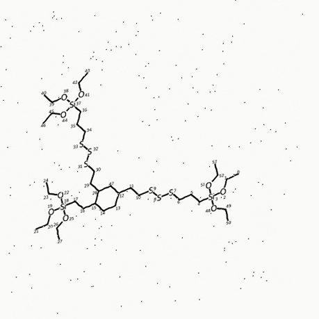 CCO[Si](CCCSSSCCC1CCC(CC[Si](OCC)(OCC)OCC)C(CCSSSCCC[Si](OCC)(OCC)OCC)C1)(OCC)OCC